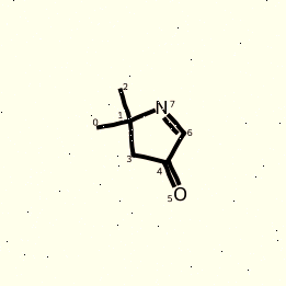 CC1(C)CC(=O)C=N1